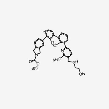 COc1nc(-c2cccc(-c3ccnc(-c4ccc5c(c4)CN(C(=O)OC(C)(C)C)C5)c3Cl)c2Cl)ccc1CNCCO